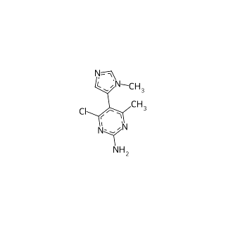 Cc1nc(N)nc(Cl)c1-c1cncn1C